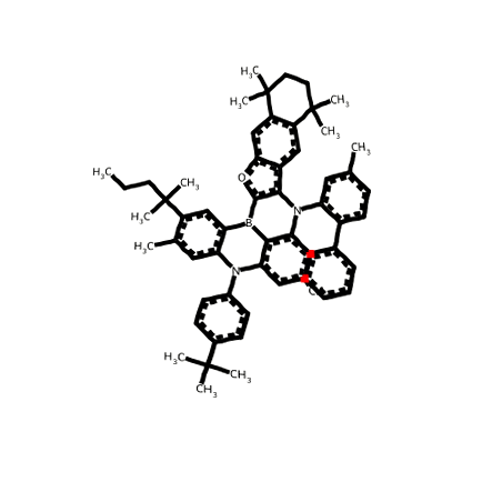 CCCC(C)(C)c1cc2c(cc1C)N(c1ccc(C(C)(C)C)cc1)c1cc(C)cc3c1B2c1oc2cc4c(cc2c1N3c1cc(C)ccc1-c1ccccc1)C(C)(C)CCC4(C)C